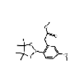 COC(=O)Cc1cc(OC)ccc1B1OC(C)(C)C(C)(C)O1